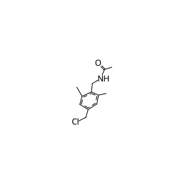 CC(=O)NCc1c(C)cc(CCl)cc1C